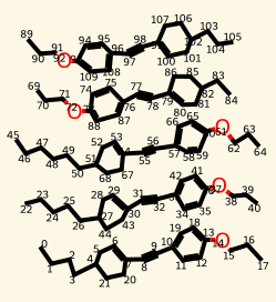 CCCCC1CC=C(C#Cc2ccc(OCCC)cc2)CC1.CCCCCC1CC=C(C#Cc2ccc(OCCC)cc2)CC1.CCCCCCC1CC=C(C#Cc2ccc(OCCC)cc2)CC1.CCCOc1ccc(C#CC2=CCC(CC)CC2)cc1.CCCOc1ccc(C#CC2=CCC(CCC)CC2)cc1